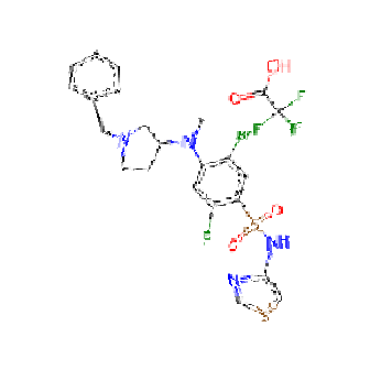 CN(c1cc(F)c(S(=O)(=O)Nc2cscn2)cc1Br)C1CCN(Cc2ccccc2)C1.O=C(O)C(F)(F)F